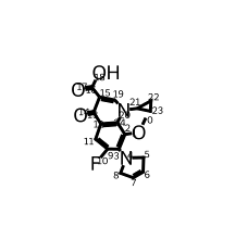 COc1c(N2CC=CC2)c(F)cc2c(=O)c(C(=O)O)cn(C3CC3)c12